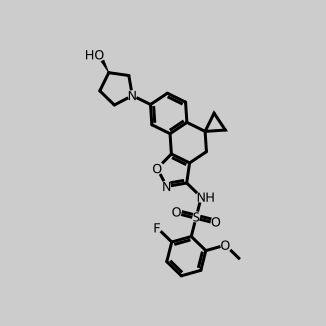 COc1cccc(F)c1S(=O)(=O)Nc1noc2c1CC1(CC1)c1ccc(N3CC[C@@H](O)C3)cc1-2